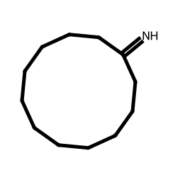 N=C1CCCCCCCCCCC1